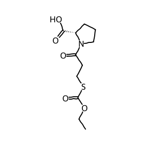 CCOC(=O)SCCC(=O)N1CCC[C@H]1C(=O)O